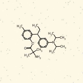 CCC(c1cccc(N(C(C)C)C(C)C)c1)c1cc(C)ccc1OC(=O)C(C)(C)N